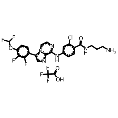 NCCCNC(=O)c1ccc(Nc2nccn3c(-c4ccc(OC(F)F)c(F)c4F)cnc23)cc1Cl.O=C(O)C(F)(F)F